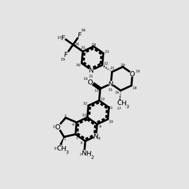 C[C@H]1OCc2c1c(N)nc1ccc(C(=O)N3[C@@H](C)COC[C@H]3c3ccc(C(F)(F)F)cn3)cc21